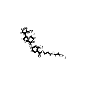 C=CCOCCCOC(=O)c1ccc(Oc2nccn3c(-c4conc4C(F)(F)F)cnc23)cc1CC